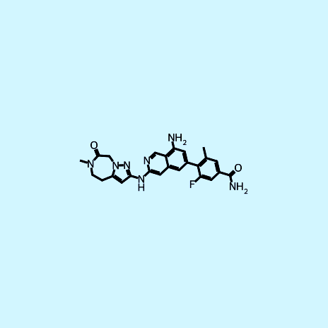 Cc1cc(C(N)=O)cc(F)c1-c1cc(N)c2cnc(Nc3cc4n(n3)CC(=O)N(C)CC4)cc2c1